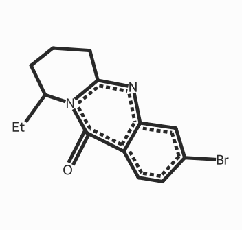 CCC1CCCc2nc3cc(Br)ccc3c(=O)n21